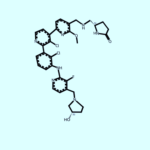 COc1nc(-c2ccnc(-c3cccc(Nc4nccc(CN5CC[C@H](O)C5)c4F)c3Cl)c2Cl)ccc1CNC[C@@H]1CCC(=O)N1